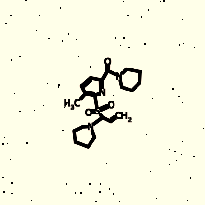 C=CC(N1CCCCC1)S(=O)(=O)c1nc(C(=O)N2CCCCC2)ccc1C